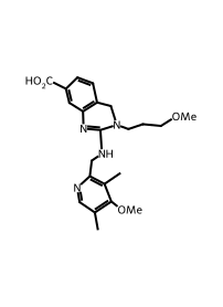 COCCCN1Cc2ccc(C(=O)O)cc2N=C1NCc1ncc(C)c(OC)c1C